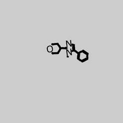 Cn1c(-c2ccccc2)cnc1C1CCOCC1